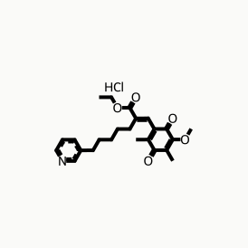 CCOC(=O)C(=CC1=C(C)C(=O)C(C)=C(OC)C1=O)CCCCCc1cccnc1.Cl